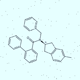 Cc1ccc2c(c1)C[C@H](N(Cc1ccccc1)C(=O)c1ccccc1-c1ccccc1)C2